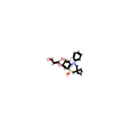 CCC1(CC)CN(c2ccccc2)c2cc(Br)c(O/C=C/C=O)cc2[S+]([O-])C1